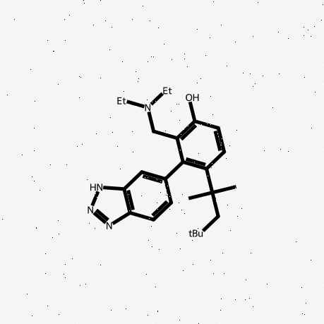 CCN(CC)Cc1c(O)ccc(C(C)(C)CC(C)(C)C)c1-c1ccc2nn[nH]c2c1